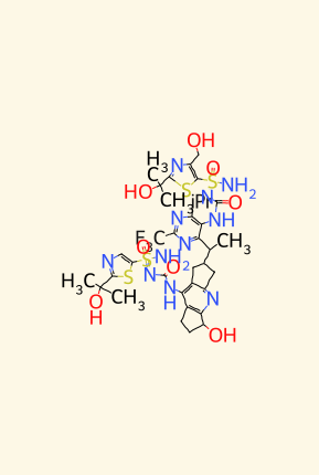 CC(C)c1nc(C(F)(F)F)nc(C(C)C2Cc3nc4c(c(NC(=O)N=S(N)(=O)c5cnc(C(C)(C)O)s5)c3C2)CCC4O)c1NC(=O)N=S(N)(=O)c1sc(C(C)(C)O)nc1CO